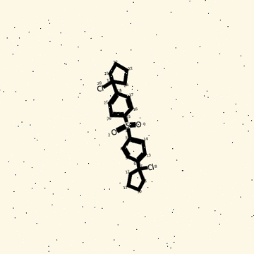 O=S(=O)(c1ccc(C2(Cl)CCCC2)cc1)c1ccc(C2(Cl)CCCC2)cc1